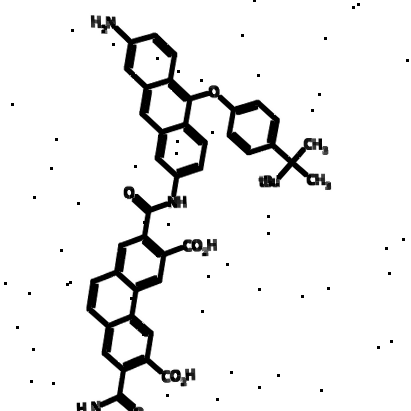 CC(C)(C)C(C)(C)c1ccc(Oc2c3ccc(N)cc3cc3cc(NC(=O)c4cc5ccc6cc(C(N)=O)c(C(=O)O)cc6c5cc4C(=O)O)ccc23)cc1